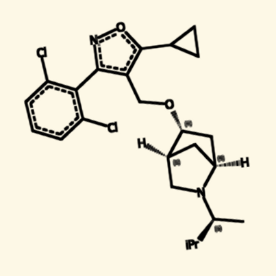 CC(C)[C@H](C)N1C[C@@H]2C[C@H]1C[C@H]2OCc1c(-c2c(Cl)cccc2Cl)noc1C1CC1